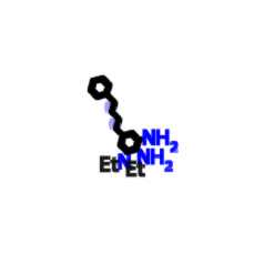 CCN(CC)c1cc(/C=C/C=C/c2ccccc2)cc(N)c1N